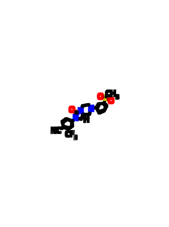 CS(=O)(=O)c1cccc(N2CCN3C(=O)N(c4ccc(C#N)c(C(F)(F)F)c4)C[C@@H]3C2)c1